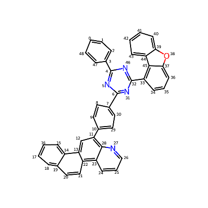 c1ccc(-c2nc(-c3ccc(-c4cc5c6ccccc6ccc5c5cccnc45)cc3)nc(-c3cccc4oc5ccccc5c34)n2)cc1